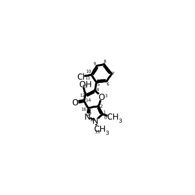 Cc1c2oc(-c3ccccc3Cl)c(O)c(=O)c2nn1C